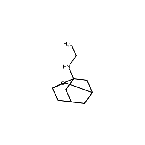 CCNC12CC3CC(CC(C3)O1)C2